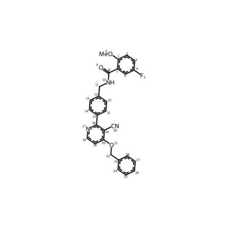 COc1ccc(F)cc1C(=O)NCc1ccc(-c2nccc(OCc3ccccc3)c2C#N)cc1